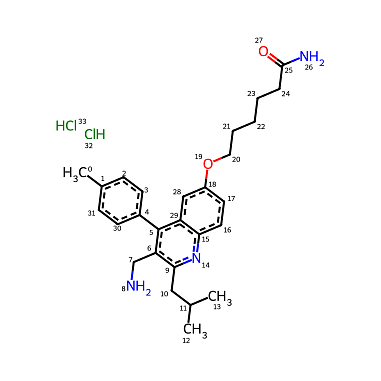 Cc1ccc(-c2c(CN)c(CC(C)C)nc3ccc(OCCCCCC(N)=O)cc23)cc1.Cl.Cl